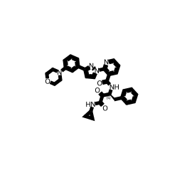 O=C(NC1CC1)C(=O)[C@H](Cc1ccccc1)NC(=O)c1cccnc1-n1ccc(-c2cccc(N3CCOCC3)c2)n1